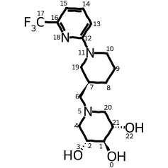 O[C@H]1[C@H](O)CN(C[C@@H]2CCCN(c3cccc(C(F)(F)F)n3)C2)C[C@@H]1O